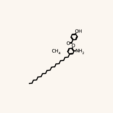 C.CCCCCCCCCCCCCCCCCCc1ccc(OC(=O)c2ccc(O)cc2)c(N)c1